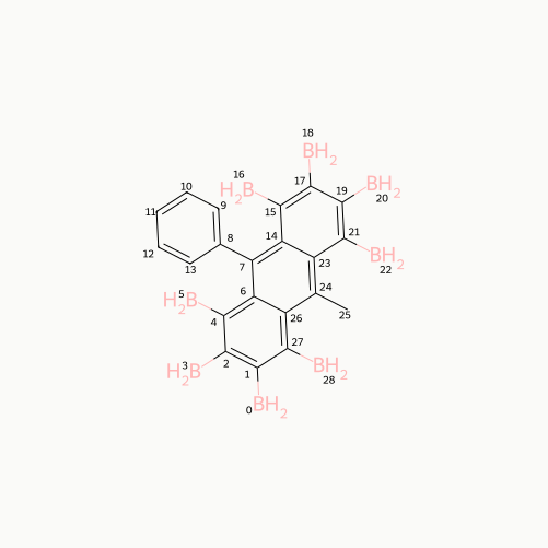 Bc1c(B)c(B)c2c(-c3ccccc3)c3c(B)c(B)c(B)c(B)c3c(C)c2c1B